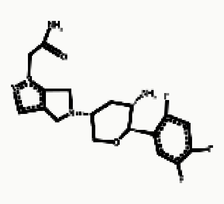 NC(=O)Cn1ncc2c1CN([C@H]1CO[C@H](c3cc(F)c(F)cc3F)[C@@H](N)C1)C2